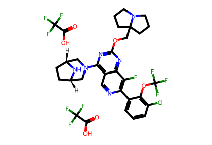 Fc1c(-c2cccc(Cl)c2OC(F)(F)F)ncc2c(N3C[C@H]4CC[C@@H](C3)N4)nc(OCC34CCCN3CCC4)nc12.O=C(O)C(F)(F)F.O=C(O)C(F)(F)F